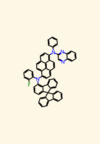 Fc1ccccc1N(c1cccc2c1-c1ccccc1C21c2ccccc2-c2ccccc21)c1ccc2ccc3c(N(c4ccccc4)c4cnc5ccccc5n4)ccc4ccc1c2c43